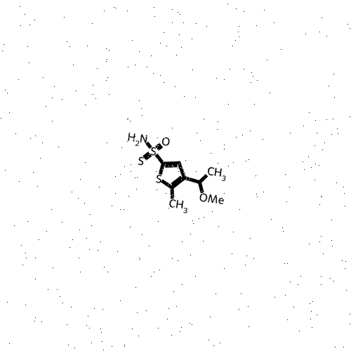 COC(C)c1cc(S(N)(=O)=S)sc1C